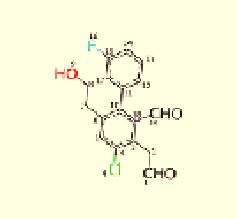 O=CCc1c(Cl)cc(CCO)c(-c2cccc(F)c2)c1C=O